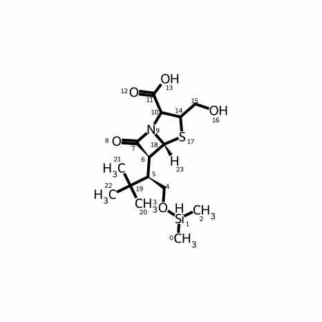 C[SiH](C)OC[C@H]([C@H]1C(=O)N2C(C(=O)O)C(CO)S[C@H]12)C(C)(C)C